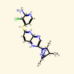 CC1C2=[N+]3C[C@H]1N(c1cnc4nc(Sc5ccnc(N)c5Cl)ccc4n1)C[C@H]23